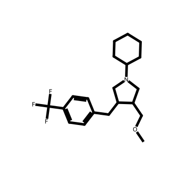 COCC1CN(C2CCCCC2)CC1Cc1ccc(C(F)(F)F)cc1